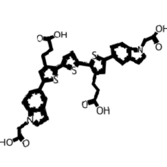 O=C(O)CCc1cc(-c2ccc3c(ccn3CC(=O)O)c2)sc1-c1ccc(-c2sc(-c3ccc4c(ccn4CC(=O)O)c3)cc2CCC(=O)O)s1